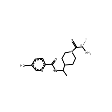 CC(NC(=O)c1ccc(O)cn1)C1CCN(C(=O)[C@H](C)N)CC1